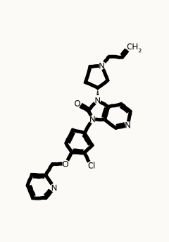 C=CCN1CC[C@@H](n2c(=O)n(-c3ccc(OCc4ccccn4)c(Cl)c3)c3cnccc32)C1